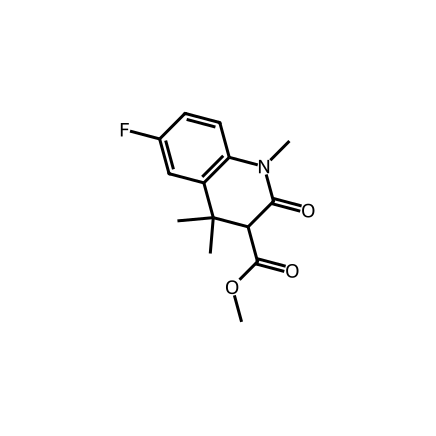 COC(=O)C1C(=O)N(C)c2ccc(F)cc2C1(C)C